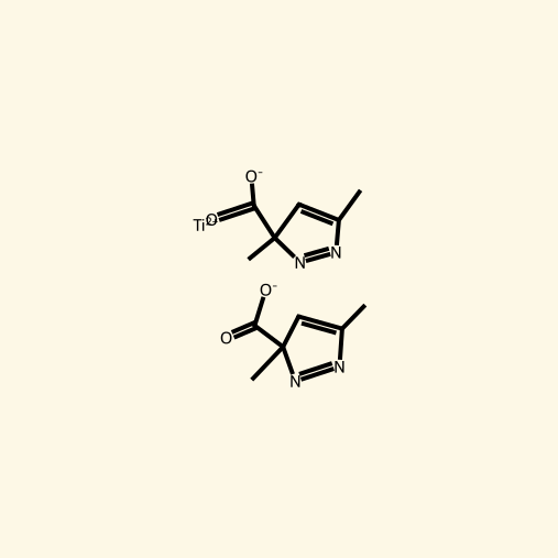 CC1=CC(C)(C(=O)[O-])N=N1.CC1=CC(C)(C(=O)[O-])N=N1.[Ti+2]